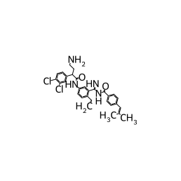 C=Cc1ccc(NC(=O)C(CCN)c2ccc(Cl)c(Cl)c2)cc1C(=N)NC(=O)c1ccc(C=C(C)C)cc1